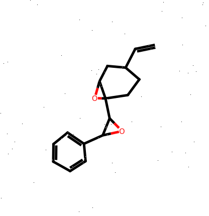 C=CC1CCC2(C3OC3c3ccccc3)OC2C1